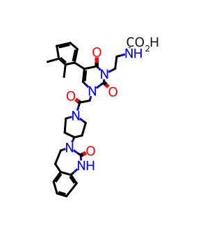 Cc1cccc(-c2cn(CC(=O)N3CCC(N4CCc5ccccc5NC4=O)CC3)c(=O)n(CCNC(=O)O)c2=O)c1C